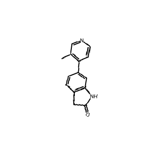 Cc1cnccc1-c1ccc2c(c1)NC(=O)C2